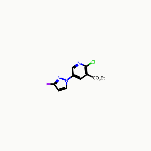 CCOC(=O)c1cc(-n2ccc(I)n2)cnc1Cl